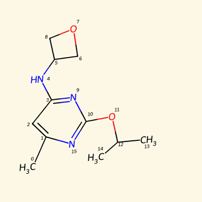 Cc1cc(NC2COC2)nc(OC(C)C)n1